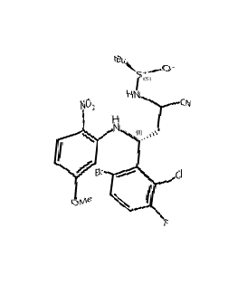 COc1ccc([N+](=O)[O-])c(N[C@H](CC(C#N)N[S@+]([O-])C(C)(C)C)c2c(Br)ccc(F)c2Cl)c1